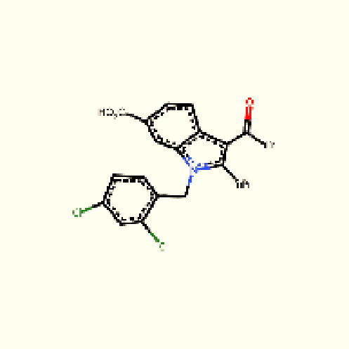 CCCc1c(C(=O)C(C)C)c2ccc(C(=O)O)cc2n1Cc1ccc(Cl)cc1Cl